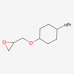 CCCC1CCC(OCC2CO2)CC1